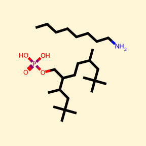 CC(CCC(COP(=O)(O)O)C(C)CC(C)(C)C)CC(C)(C)C.CCCCCCCCN